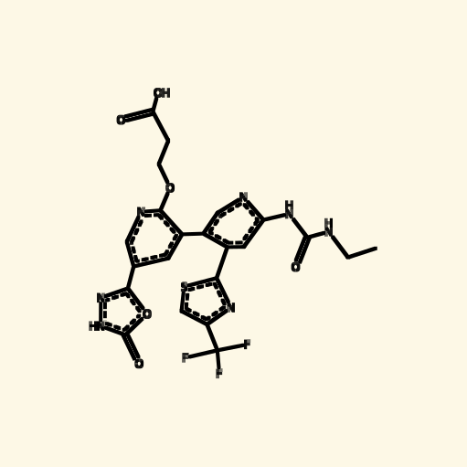 CCNC(=O)Nc1cc(-c2nc(C(F)(F)F)cs2)c(-c2cc(-c3n[nH]c(=O)o3)cnc2OCCC(=O)O)cn1